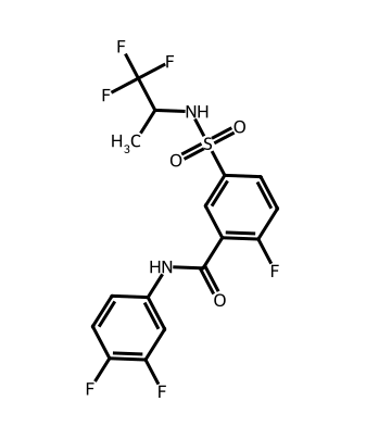 CC(NS(=O)(=O)c1ccc(F)c(C(=O)Nc2ccc(F)c(F)c2)c1)C(F)(F)F